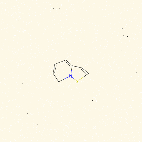 [C]1=C2C=CSN2CC=C1